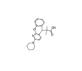 CC(C)(C(=O)O)C1c2ccccc2Oc2nc(N3CCCCC3)ccc21